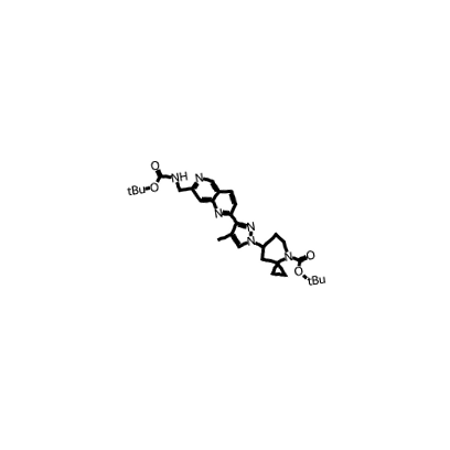 Cc1cn(C2CCN(C(=O)OC(C)(C)C)C3(CC3)C2)nc1-c1ccc2cnc(CNC(=O)OC(C)(C)C)cc2n1